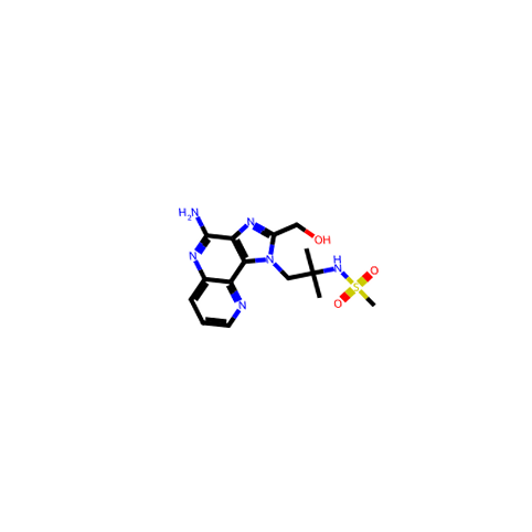 CC(C)(Cn1c(CO)nc2c(N)nc3cccnc3c21)NS(C)(=O)=O